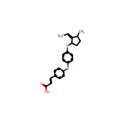 C/C=C1/C(C)CCC1Sc1ccc(Sc2ccc(/C=C/C(=O)O)cc2)cc1